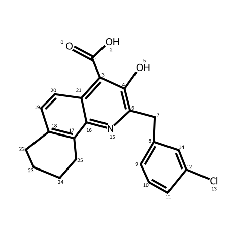 O=C(O)c1c(O)c(Cc2cccc(Cl)c2)nc2c3c(ccc12)CCCC3